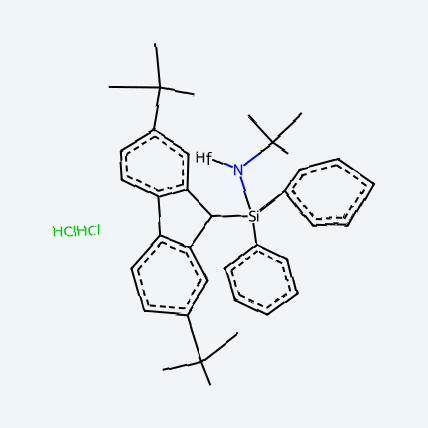 CC(C)(C)c1ccc2c(c1)C([Si](c1ccccc1)(c1ccccc1)[N]([Hf])C(C)(C)C)c1cc(C(C)(C)C)ccc1-2.Cl.Cl